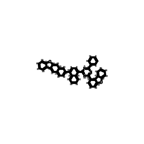 c1ccc(-c2nc(-c3ccc(-c4ccc5cc6c(cc5c4)oc4ccccc46)c4ccccc34)nc(-c3cccc4oc5ccccc5c34)n2)cc1